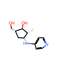 OC[C@H]1C[C@@H](Nc2[c]cncc2)[C@@H](F)[C@@H]1O